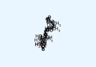 C[C@H](NC(=O)CCN1C(=O)C=CC1=O)C(=O)N[C@@H](C)C(=O)Nc1ccc(Sc2ccc(C(C)(O)OC3CC4[C@@H]5CCC6=CC(=O)C=C[C@]6(C)C5[C@@H](O)C[C@]4(C)[C@H]3C(=O)CO)cc2)cc1